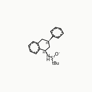 CC(C)(C)[S+]([O-])N[C@@H]1C[C@H](c2ccccc2)Cc2ccccc21